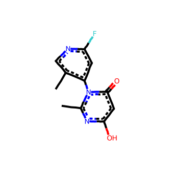 Cc1cnc(F)cc1-n1c(C)nc(O)cc1=O